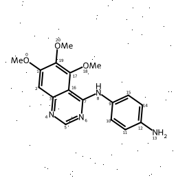 COc1cc2ncnc(Nc3ccc(N)cc3)c2c(OC)c1OC